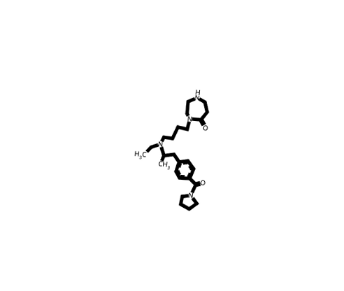 CCN(CCCCN1CCNCCC1=O)C(C)Cc1ccc(C(=O)N2CCCC2)cc1